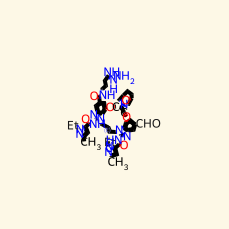 CCn1nc(C)cc1C(=O)Nc1nc2cc(C=O)cc3c2n1C/C=C/Cn1c(NC(=O)c2cc(C)nn2CC)nc2cc(C(=O)NCCCC(=N)NN)cc(c21)OCC(N1CC2CCC(C1)O2)CO3